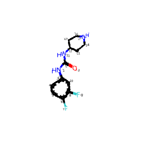 O=C(Nc1ccc(F)c(F)c1)NC1CCNCC1